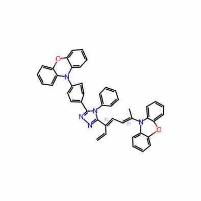 C=C/C(=C\C=C(/C)N1c2ccccc2Oc2ccccc21)c1nnc(-c2ccc(N3c4ccccc4Oc4ccccc43)cc2)n1-c1ccccc1